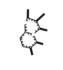 C=c1ccc2nc(=C)c(=C)c(=O)n2c1=C